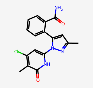 Cc1cc(-c2ccccc2C(N)=O)n(-c2cc(Cl)c(C)c(=O)[nH]2)n1